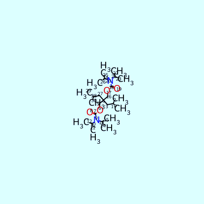 CC(C)CC(COC(=O)N(C(C)C)C(C)C)(COC(=O)N(C(C)C)C(C)C)CC(C)C